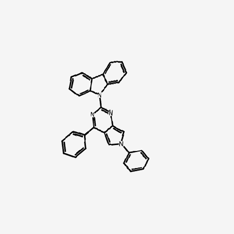 c1ccc(-c2nc(-n3c4ccccc4c4ccccc43)nc3cn(-c4ccccc4)cc23)cc1